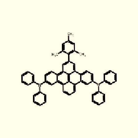 Cc1cc(C)c(-c2cc3c4ccc(N(c5ccccc5)c5ccccc5)cc4c4cccc5c6cc(N(c7ccccc7)c7ccccc7)ccc6c(c2)c3c45)c(C)c1